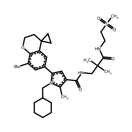 Cc1c(C(=O)NCC(C)(C)C(=O)NCCS(C)(=O)=O)cc(-c2cc(C(C)(C)C)c3c(c2)C2(CCO3)CC2)n1CC1CCCCC1